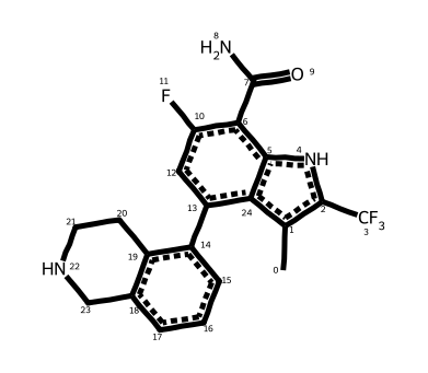 Cc1c(C(F)(F)F)[nH]c2c(C(N)=O)c(F)cc(-c3cccc4c3CCNC4)c12